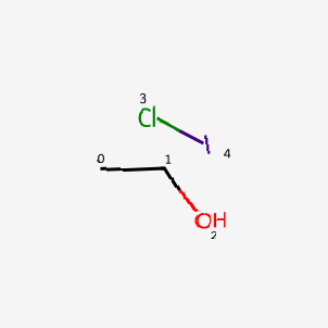 CCO.ClI